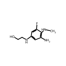 CNc1c(N)cc(NCCO)cc1F